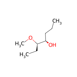 CCC[C@@H](O)[C@@H](CC)OC